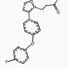 NC(=O)CCn1nccc1-c1ccc(Oc2ccc(F)cc2)cc1